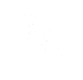 Cn1c2c(c(=O)n1Cc1ccc(Cl)cc1)CN(Cc1ccccc1)CC2